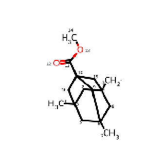 [CH2]C12CC3(C)CC(C)(C1)CC(C(=O)OC)(C2)C3